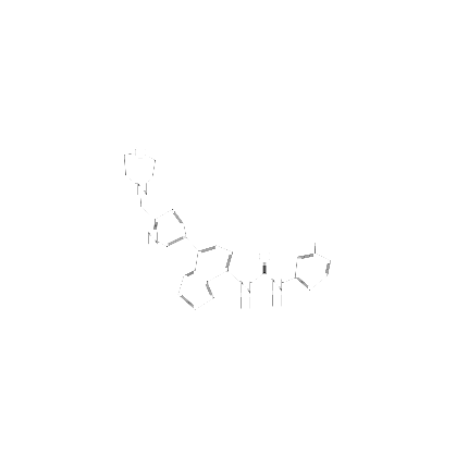 CCc1cccc(NC(=O)Nc2ccc(-c3ccc(CN4CCOCC4)nc3)c3ccccc23)c1